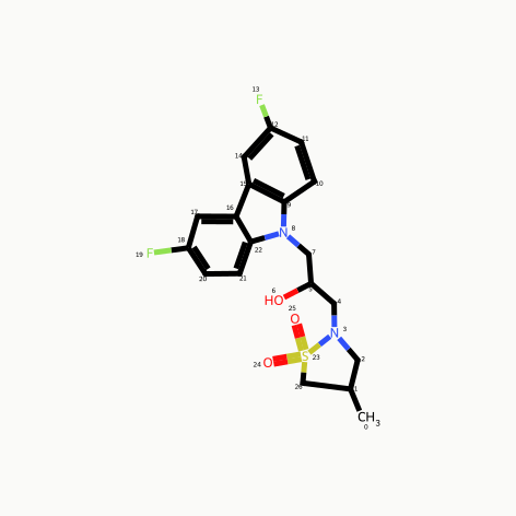 CC1CN(CC(O)Cn2c3ccc(F)cc3c3cc(F)ccc32)S(=O)(=O)C1